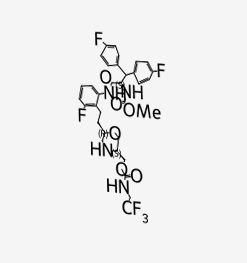 COC(=O)N[C@H](C(=O)Nc1cccc(F)c1CC[C@@H]1CN[C@H](COC(=O)NCC(F)(F)F)CO1)C(c1ccc(F)cc1)c1ccc(F)cc1